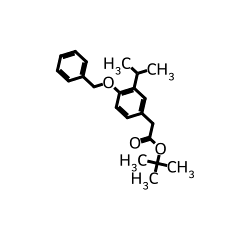 CC(C)c1cc(CC(=O)OC(C)(C)C)ccc1OCc1ccccc1